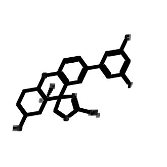 NC1=NC2(CO1)c1cc(-c3cc(F)cc(Cl)c3)ccc1OC1CCC(O)C[C@@H]12